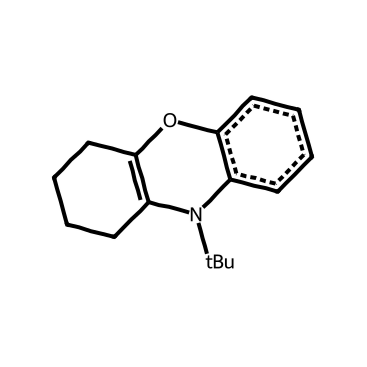 CC(C)(C)N1C2=C(CCCC2)Oc2ccccc21